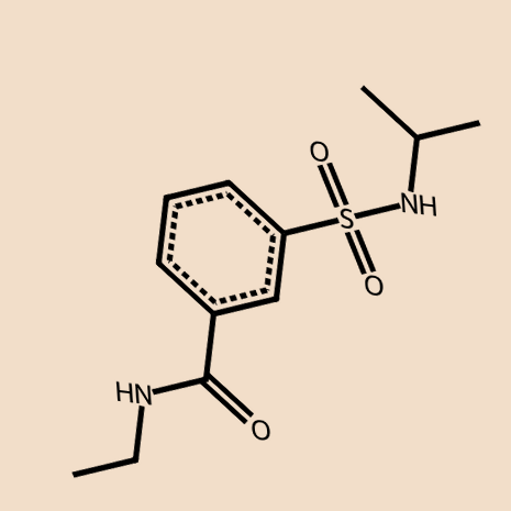 CCNC(=O)c1cccc(S(=O)(=O)NC(C)C)c1